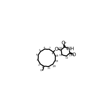 CC1CCCCCCC(OC2CCC(=O)NC2=O)CCCC1